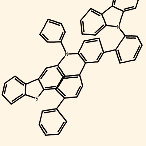 c1ccc(-c2ccc(-c3cc(-c4ccccc4-n4c5ccccc5c5ccccc54)ccc3N(c3ccccc3)c3ccc4sc5ccccc5c4c3)cc2)cc1